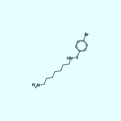 NCCCCCCCNSc1ccc(Br)cc1